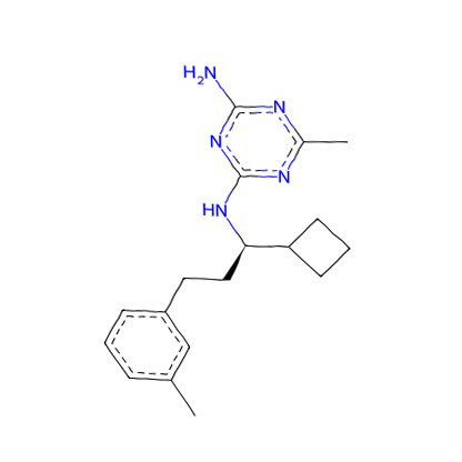 Cc1cccc(CC[C@@H](Nc2nc(C)nc(N)n2)C2CCC2)c1